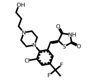 CC(F)(F)c1cc(Cl)c(N2CCN(CCCO)CC2)c(/C=C2\SC(=O)NC2=O)c1